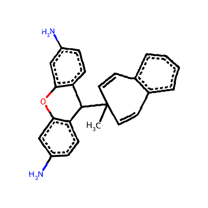 CC1(C2c3ccc(N)cc3Oc3cc(N)ccc32)C=Cc2ccccc2C=C1